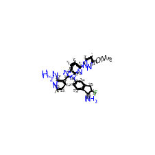 COc1ccn(-c2ccc3nc(-c4cccnc4N)n(-c4ccc5c(c4)CC(F)[C@@H]5N)c3n2)n1